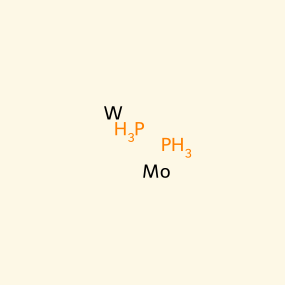 P.P.[Mo].[W]